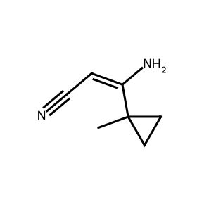 CC1(/C(N)=C\C#N)CC1